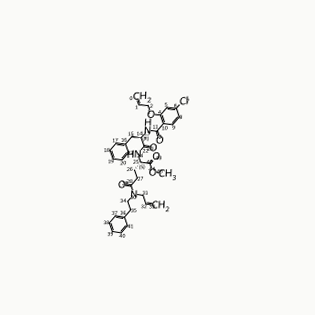 C=CCOc1cc(Cl)ccc1C(=O)N[C@H](Cc1ccccc1)C(=O)N[C@@H](CCC(=O)N(CC=C)CCc1ccccc1)C(=O)OC